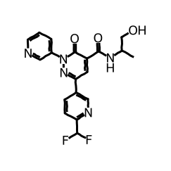 CC(CO)NC(=O)c1cc(-c2ccc(C(F)F)nc2)nn(-c2cccnc2)c1=O